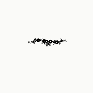 NC(=O)CS(=O)(=O)c1ccc(C(=O)Nc2ccc(/C=C/c3ccc(NC(=O)c4ccc(S(=O)(=O)CC(N)=O)cc4)cc3S(=O)(=O)O)c(S(=O)(=O)O)c2)cc1